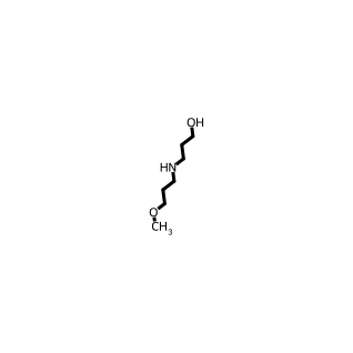 COCCCNCCCO